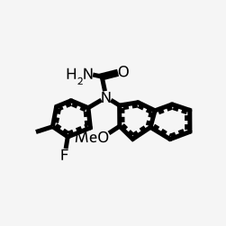 COc1cc2ccccc2cc1N(C(N)=O)c1ccc(C)c(F)c1